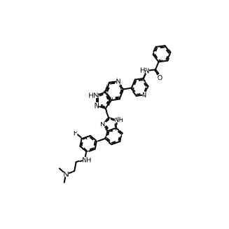 CN(C)CCNc1cc(F)cc(-c2cccc3[nH]c(-c4n[nH]c5cnc(-c6cncc(NC(=O)c7ccccc7)c6)cc45)nc23)c1